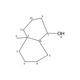 CC12CCCCC1C(O)CCC2